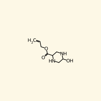 C=CCOC(=O)C1CNC(O)CN1